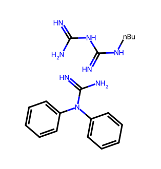 CCCCNC(=N)NC(=N)N.N=C(N)N(c1ccccc1)c1ccccc1